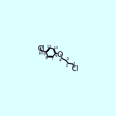 ClCCCCOc1ccc(CCl)cc1